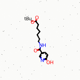 CC(C)(C)OC(=O)CCCCCCNC(=O)c1ccc(O)nc1